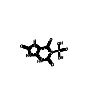 O=c1[nH]c2[nH]c(=O)n(P(=O)(O)O)c(=O)c2[nH]1